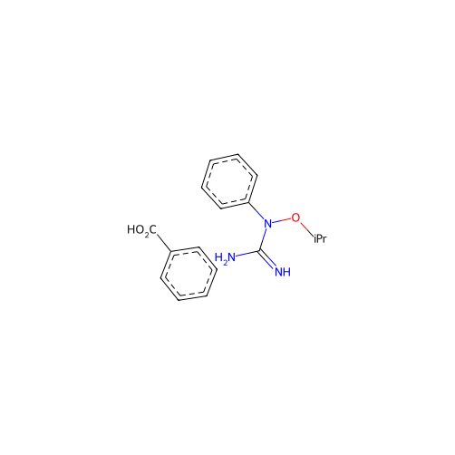 CC(C)ON(C(=N)N)c1ccccc1.O=C(O)c1ccccc1